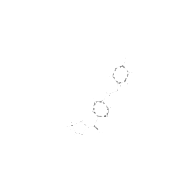 O=C(c1ccc(NCc2ccc(Cl)cc2)cc1)N1CCC(F)(F)C1